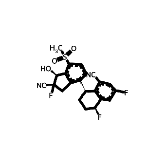 CS(=O)(=O)c1ccc([C@H]2CC[C@H](F)c3cc(F)cc(C#N)c32)c2c1[C@H](O)[C@](F)(C#N)C2